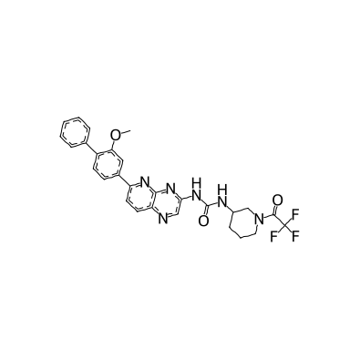 COc1cc(-c2ccc3ncc(NC(=O)NC4CCCN(C(=O)C(F)(F)F)C4)nc3n2)ccc1-c1ccccc1